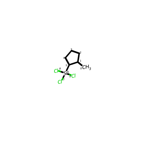 CC1CCCC1[Si](Cl)(Cl)Cl